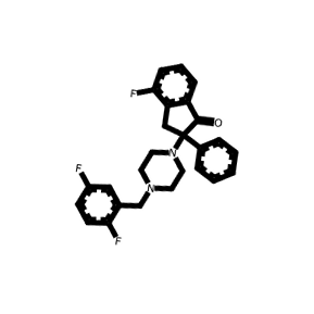 O=C1c2cccc(F)c2CC1(c1ccccc1)N1CCN(Cc2cc(F)ccc2F)CC1